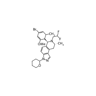 COC1=CC(Br)=CC(C)C1[C@@H]1c2ccc3c(cnn3C3CCCCO3)c2C[C@@H](C)N1CC(F)F